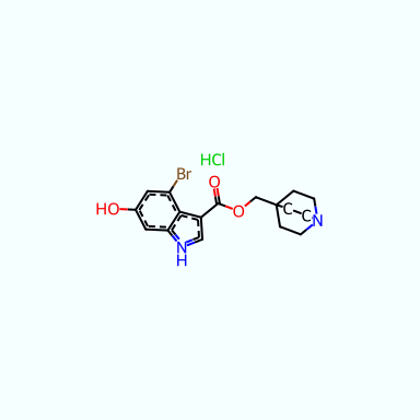 Cl.O=C(OCC12CCN(CC1)CC2)c1c[nH]c2cc(O)cc(Br)c12